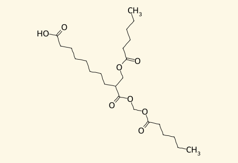 CCCCCC(=O)OCOC(=O)C(CCCCCCCC(=O)O)COC(=O)CCCCC